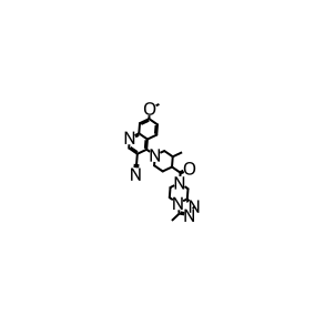 COc1ccc2c(N3CCC(C(=O)N4CCn5c(C)nnc5C4)C(C)C3)c(C#N)cnc2c1